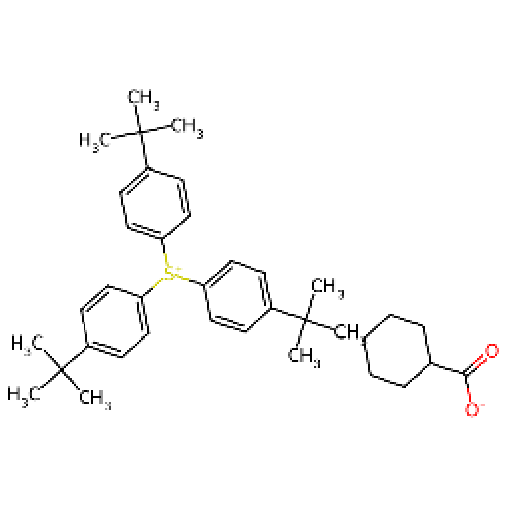 CC(C)(C)c1ccc([S+](c2ccc(C(C)(C)C)cc2)c2ccc(C(C)(C)C)cc2)cc1.O=C([O-])C1CCCCC1